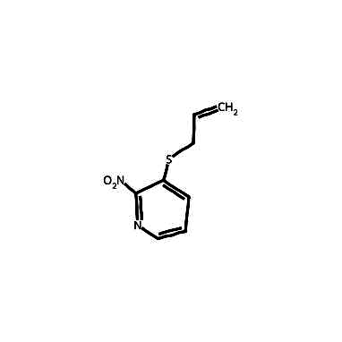 C=CCSc1cccnc1[N+](=O)[O-]